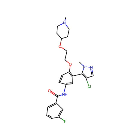 CN1CCC(OCCOc2ccc(NC(=O)c3cccc(F)c3)cc2-c2c(Cl)cnn2C)CC1